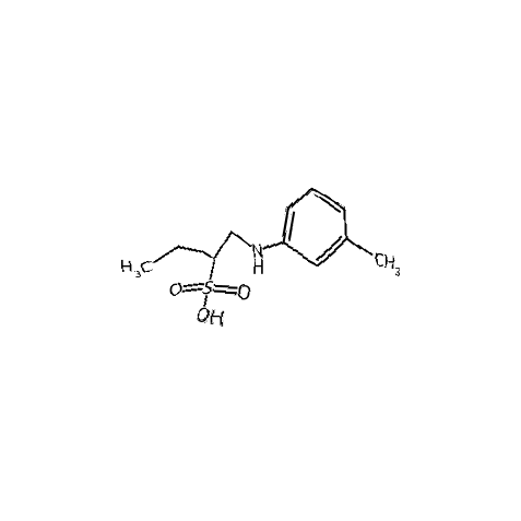 CCC(CNc1cccc(C)c1)S(=O)(=O)O